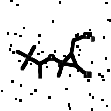 CCC1C(CC(F)(F)F)[Si]1(C)OC(C)[Si](C)(C)C